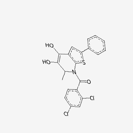 CC1C(O)=C(O)c2cc(-c3ccccc3)sc2N1C(=O)c1ccc(Cl)cc1Cl